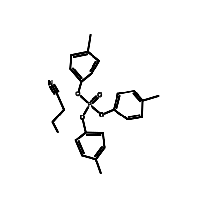 CCCC#N.Cc1ccc(OP(=O)(Oc2ccc(C)cc2)Oc2ccc(C)cc2)cc1